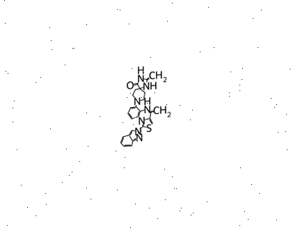 C=C1NC(=O)C2(CCN(c3ccccc3NC(=C)c3csc(-n4cc5ccccc5n4)n3)CC2)N1